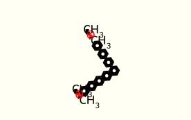 C1CCCCC1.C1CCCCC1.C1CCCCC1.C1CCCCC1.C1CCCCC1.C1CCCCC1.C1CCCCC1.C1CCCCC1.CCOCC.CCOCC